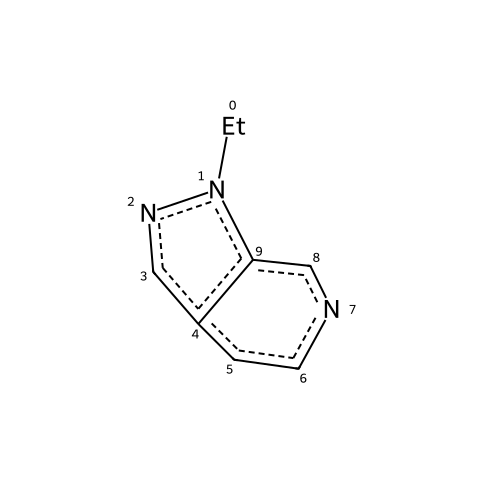 CCn1ncc2ccncc21